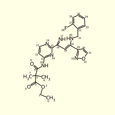 CCOC(=O)C(C)(C)C(=O)Nc1ccnc(C(=N)/C=C(\NCc2ccccc2F)c2ccon2)n1